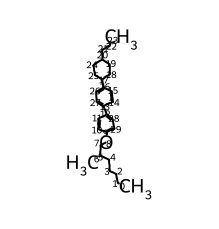 CCCCCC(C)COc1ccc(-c2ccc(C3CCC(CCC)CC3)cc2)cc1